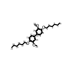 CCCCCCOc1ccc(-c2ccc(OCCCCCC)c(OC)c2)cc1OC